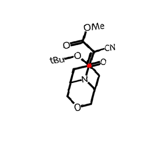 COC(=O)C(C#N)=C1CC2COCC(C1)N2C(=O)OC(C)(C)C